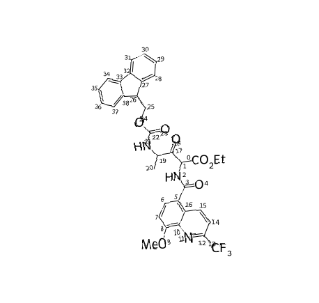 CCOC(=O)C(NC(=O)c1ccc(OC)c2nc(C(F)(F)F)ccc12)C(=O)C(C)NC(=O)OCC1c2ccccc2-c2ccccc21